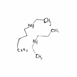 CCC[CH2][Mg][CH2]C.CC[CH2][Mg][CH2]C